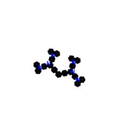 c1cc(-c2ccc(-c3cc(-c4ccc(-n5c6ccccc6c6ccccc65)cc4)nc(-c4ccc(-n5c6ccccc6c6ccccc65)cc4)c3)cc2)cc(-c2ccc(-c3cc(-c4ccc(-n5c6ccccc6c6ccccc65)cc4)nc(-c4ccc(-n5c6ccccc6c6ccccc65)cc4)c3)cc2)c1